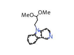 COC(CCn1c2ccccc2c2cnccc21)OC